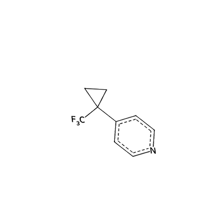 FC(F)(F)C1(c2ccncc2)CC1